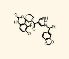 CCC(N/C=C(\C=N)C(=O)N1CCC[C@@]2(C1)OC(=O)Nc1ccc(Cl)c(F)c12)c1ccc2c(c1)OCO2